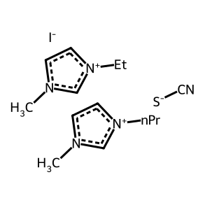 CCC[n+]1ccn(C)c1.CC[n+]1ccn(C)c1.N#C[S-].[I-]